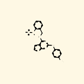 CN(c1ccccc1CNc1nc(Nc2ccc(C#N)cc2)nc2[nH]ccc12)S(C)(=O)=O